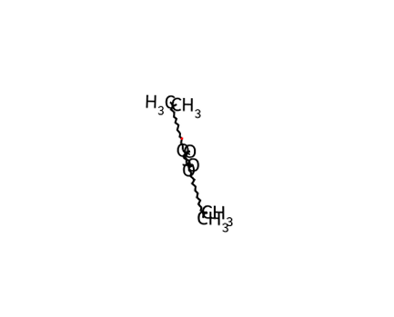 CC(C)CCCCCCCCCCCCOC(=O)CSCC(=O)OCCCCCCCCCCCCC(C)C